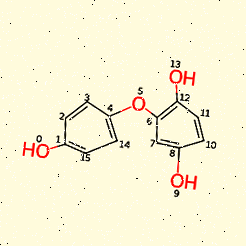 Oc1ccc(Oc2cc(O)ccc2O)cc1